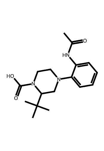 CC(=O)Nc1ccccc1N1CCN(C(=O)O)C(C(C)(C)C)C1